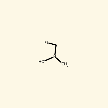 [CH2]N(O)CCC